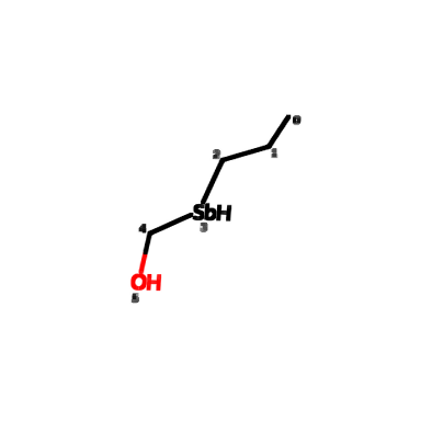 CC[CH2][SbH][CH2]O